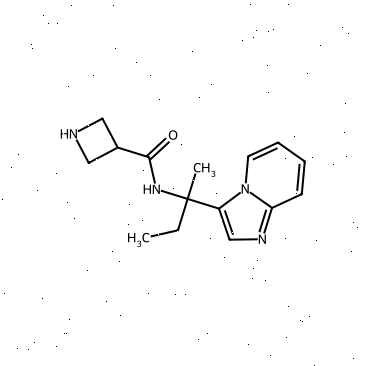 CCC(C)(NC(=O)C1CNC1)c1cnc2ccccn12